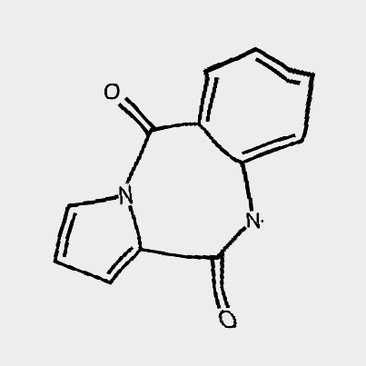 O=C1[N]c2ccccc2C(=O)n2cccc21